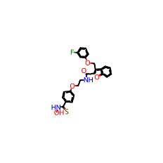 O=C(NCCOc1ccc(C(=S)NO)cc1)c1oc2ccccc2c1COc1cccc(F)c1